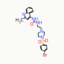 Cc1cc(NC(=O)NCCN2CCN(S(=O)(=O)c3ccc(Br)cc3)CC2)c2ccccc2n1